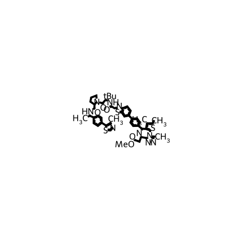 COC(=O)CC1N=C(c2ccc(-c3ccc4nc(C(=O)NC(C(=O)N5CCCC5C(=O)NC(C)c5ccc(-c6scnc6C)cc5)C(C)(C)C)sc4c3)cc2)c2c(sc(C)c2C)-n2c(C)nnc21